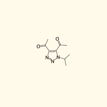 CC(=O)c1nnn(C(C)C)c1C(C)=O